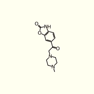 CN1CCN(CC(=O)c2ccc3[nH]c(=O)oc3c2)CC1